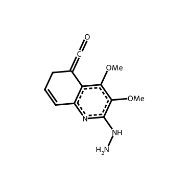 COc1c(NN)nc2c(c1OC)C(=C=O)CC=C2